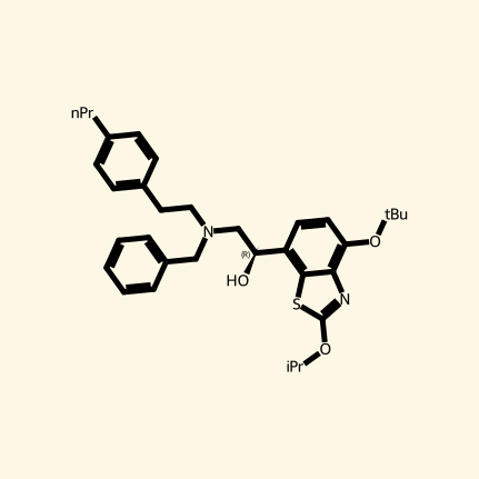 CCCc1ccc(CCN(Cc2ccccc2)C[C@H](O)c2ccc(OC(C)(C)C)c3nc(OC(C)C)sc23)cc1